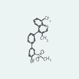 Cc1cnc2c(C(F)(F)F)cccc2c1-c1cccc(-c2ccc(Br)c(S(C)(=O)=O)c2)c1